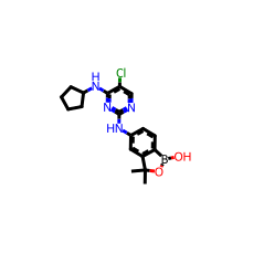 CC1(C)OB(O)c2ccc(Nc3ncc(Cl)c(NC4CCCC4)n3)cc21